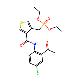 CCOP(=O)(Cc1cscc1C(=O)Nc1ccc(Cl)cc1C(C)=O)OCC